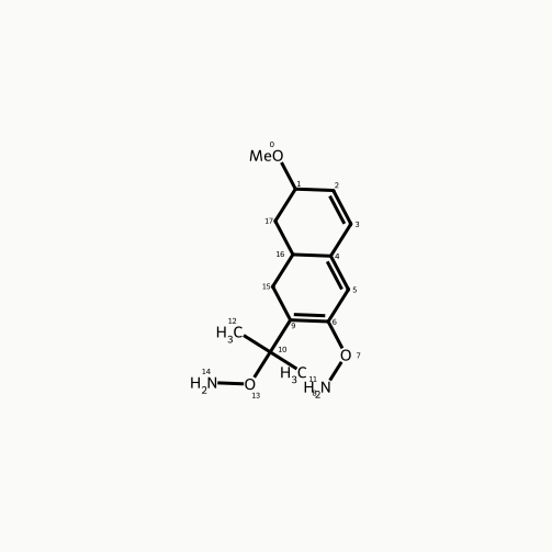 COC1C=CC2=CC(ON)=C(C(C)(C)ON)CC2C1